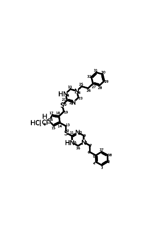 Cl.Cl.c1ccc(CCN2CN=C(SCc3cscc3CSC3=NCN(CCc4ccccc4)CN3)NC2)cc1